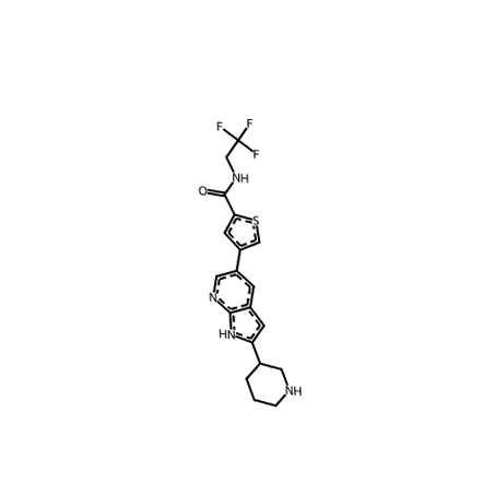 O=C(NCC(F)(F)F)c1cc(-c2cnc3[nH]c(C4CCCNC4)cc3c2)cs1